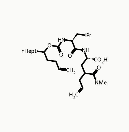 C=CCCC(CCCCCCC)OC(=O)N[C@@H](CC(C)C)C(=O)N[C@@H](CC(CC=C)C(=O)NC)C(=O)O